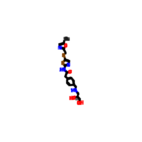 CC(C)(C)c1cnc(CSc2cnc(NC(=O)Cc3ccc(CNC[C@H](O)CO)cc3)s2)o1